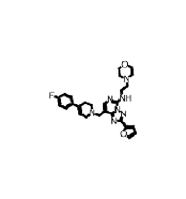 Fc1ccc(C2=CCN(Cc3cnc(NCCN4CCOCC4)n4nc(-c5ccco5)nc34)CC2)cc1